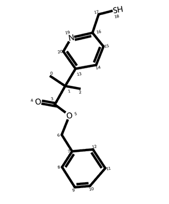 CC(C)(C(=O)OCc1ccccc1)c1ccc(CS)nc1